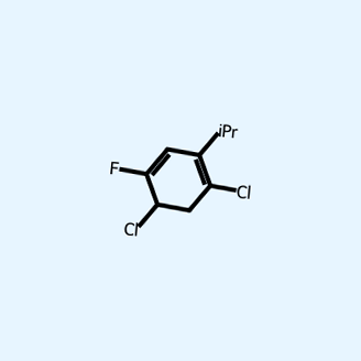 CC(C)C1=C(Cl)CC(Cl)C(F)=C1